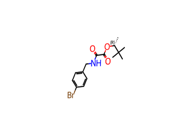 C[C@@H](OC(=O)C(=O)NCc1ccc(Br)cc1)C(C)(C)C